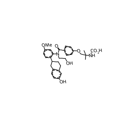 COc1ccc(C2CCc3cc(O)ccc3C2)c(N(CCO)C(=O)c2ccc(OCC(C)(C)NC(=O)O)cc2)c1